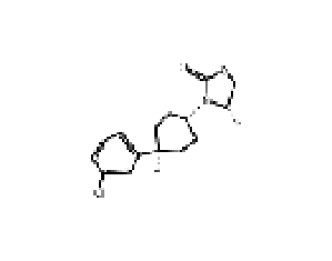 C[C@H]1COC(=O)N1[C@H]1CC[C@](C)(c2cccc(Cl)c2)CC1